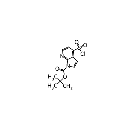 CC(C)(C)OC(=O)n1ccc2c(S(=O)(=O)Cl)ccnc21